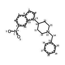 O=[N+]([O-])c1ccc2ccn(C3CCN(Cc4ccccc4)CC3)c2c1